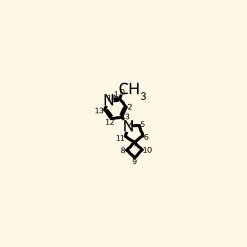 Cc1cc(N2CCC3(CCC3)C2)ccn1